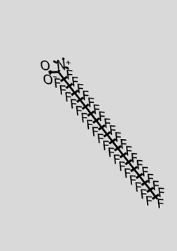 C[N+](C)(C)C(C(=O)[O-])C(F)(F)C(F)(F)C(F)(F)C(F)(F)C(F)(F)C(F)(F)C(F)(F)C(F)(F)C(F)(F)C(F)(F)C(F)(F)C(F)(F)C(F)(F)C(F)(F)C(F)(F)C(F)(F)C(F)(F)C(F)(F)F